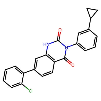 O=c1[nH]c2cc(-c3ccccc3Cl)ccc2c(=O)n1-c1cccc(C2CC2)c1